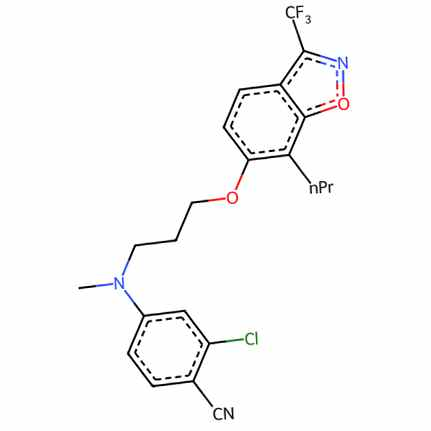 CCCc1c(OCCCN(C)c2ccc(C#N)c(Cl)c2)ccc2c(C(F)(F)F)noc12